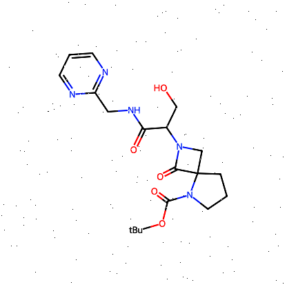 CC(C)(C)OC(=O)N1CCCC12CN(C(CO)C(=O)NCc1ncccn1)C2=O